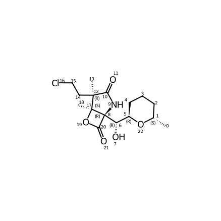 C[C@H]1CCC[C@H]([C@H](O)[C@@]23NC(=O)[C@](C)(CCCl)[C@]2(C)OC3=O)O1